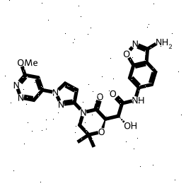 COc1cc(-n2ccc(N3CC(C)(C)O[C@H]([C@@H](O)C(=O)Nc4ccc5c(N)noc5c4)C3=O)n2)cnn1